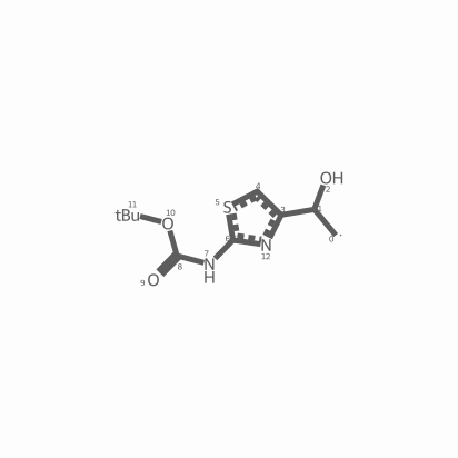 [CH2]C(O)c1csc(NC(=O)OC(C)(C)C)n1